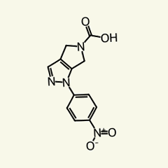 O=C(O)N1Cc2cnn(-c3ccc([N+](=O)[O-])cc3)c2C1